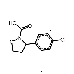 O=C(O)N1OCCC1c1ccc(Cl)cc1